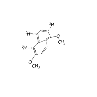 [2H]c1cc([2H])c2c([2H])c(OC)ccc2c1OC